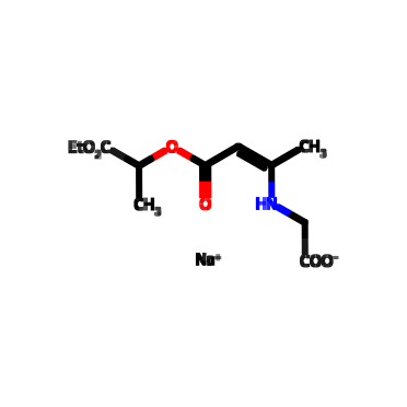 CCOC(=O)C(C)OC(=O)C=C(C)NCC(=O)[O-].[Na+]